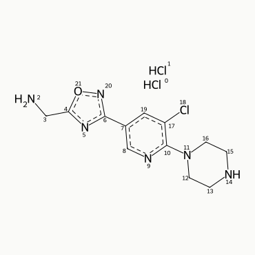 Cl.Cl.NCc1nc(-c2cnc(N3CCNCC3)c(Cl)c2)no1